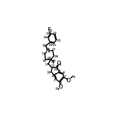 COc1cc2c(cc1OC)C(=O)C(CC1(F)CCN(Cc3cccc(F)c3)CC1)C2